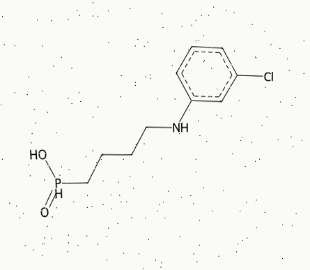 O=[PH](O)CCCCNc1cccc(Cl)c1